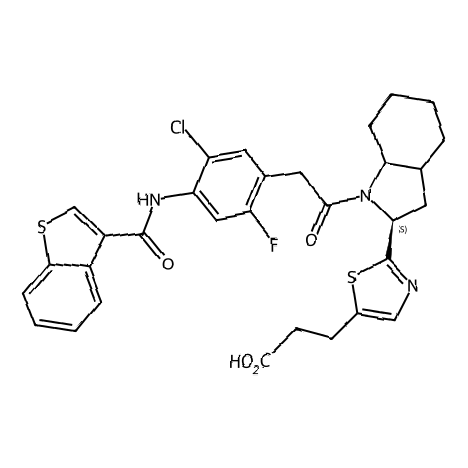 O=C(O)CCc1cnc([C@@H]2CC3CCCCC3N2C(=O)Cc2cc(Cl)c(NC(=O)c3csc4ccccc34)cc2F)s1